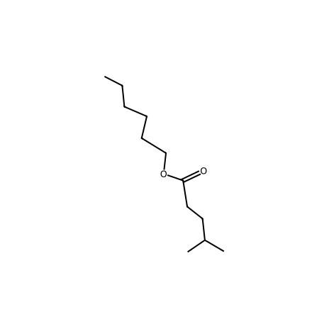 CCCCCCOC(=O)CCC(C)C